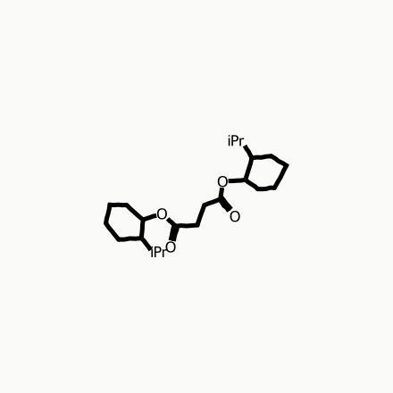 CC(C)C1CCCCC1OC(=O)CCC(=O)OC1CCCCC1C(C)C